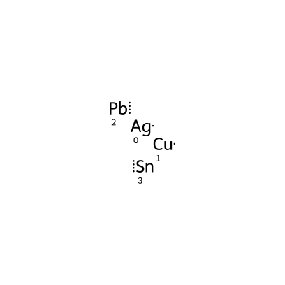 [Ag].[Cu].[Pb].[Sn]